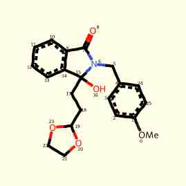 COc1ccc(CN2C(=O)c3ccccc3C2(O)CCC2OCCO2)cc1